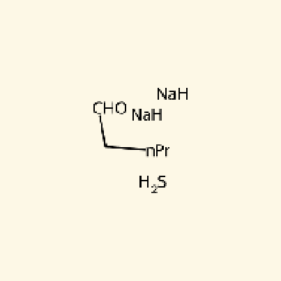 CCCCC=O.S.[NaH].[NaH]